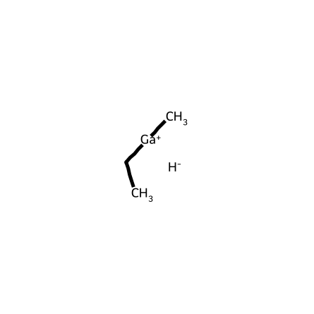 C[CH2][Ga+][CH3].[H-]